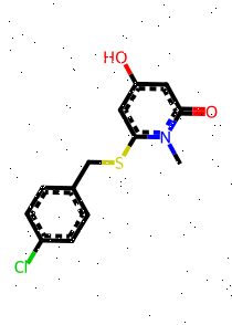 Cn1c(SCc2ccc(Cl)cc2)cc(O)cc1=O